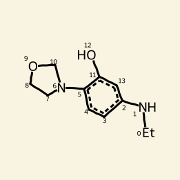 CCNc1ccc(N2CCOC2)c(O)c1